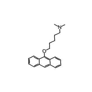 CN(C)CCCCCOc1c2ccccc2cc2ccccc12